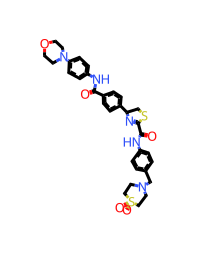 O=C(Nc1ccc(CN2CCS(=O)(=O)CC2)cc1)C1=NC(c2ccc(C(=O)Nc3ccc(N4CCOCC4)cc3)cc2)CS1